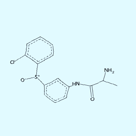 CC(N)C(=O)Nc1cccc([S+]([O-])c2ccccc2Cl)c1